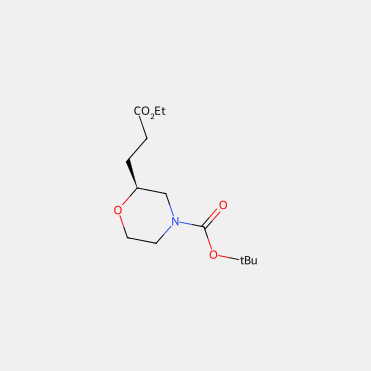 CCOC(=O)CC[C@H]1CN(C(=O)OC(C)(C)C)CCO1